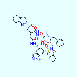 NC(=O)CC(NC(=O)c1ccc2ccccc2n1)C(=O)NOC(=O)N[C@@H](Cc1ccccc1)[C@H](O)CN(OC1CCCC1)S(=O)(=O)c1ccc2cn[nH]c2c1